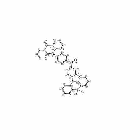 C=c1c2ccccc2n2c3ccc(C(=O)c4ccc5c(c4)c4cccc6c4n5-c4ccccc4C6(C)C)cc3c3cccc1c32